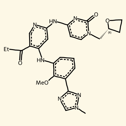 CCC(=O)c1cnc(Nc2ccn(C[C@H]3CCO3)c(=O)n2)cc1Nc1cccc(-c2ncn(C)n2)c1OC